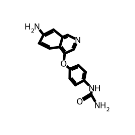 NC(=O)Nc1ccc(Oc2cncc3cc(N)ccc23)cc1